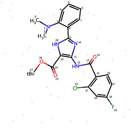 CN(C)c1ccccc1-c1nc(NC(=O)c2ccc(F)cc2Cl)c(C(=O)OC(C)(C)C)[nH]1